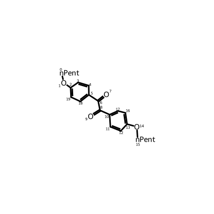 CCCCCOc1ccc(C(=O)C(=O)c2ccc(OCCCCC)cc2)cc1